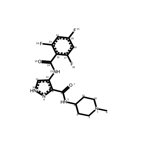 CN1CCC(NC(=O)c2n[nH]cc2NC(=O)c2c(F)cc(F)cc2F)CC1